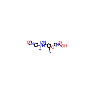 N#Cc1cc(-c2ncnc(Nc3ccc(N4CCOCC4)cc3)n2)ccc1OC1CCN(C(=O)CO)C1